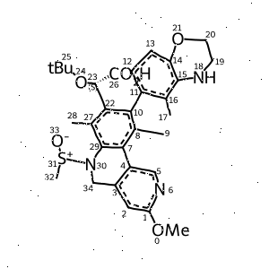 COc1cc2c(cn1)-c1c(C)c(-c3ccc4c(c3C)NCCO4)c([C@H](OC(C)(C)C)C(=O)O)c(C)c1N([S+](C)[O-])C2